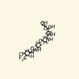 O=C(NC1=CC[C@@H](O[C@@H]2C=CN[C@H](C3C[C@@H](C(O)OCCO)CN3)C2)CC1)NC1=CC[C@H](Cl)[C@H](C(F)(F)F)C1